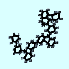 c1ccc(-c2cccc(-n3c4ccccc4c4cc(-c5ccc6c(c5)c5ccccc5n6-c5cccc(-c6ncc7cccc8c7c6-c6ccccc6-8)c5)ccc43)c2)cc1